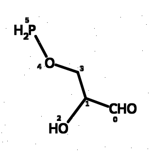 O=CC(O)COP